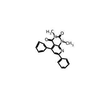 Cn1c(=O)c2c(-c3ccccc3)cc(-c3ccccc3)nc2n(C)c1=O